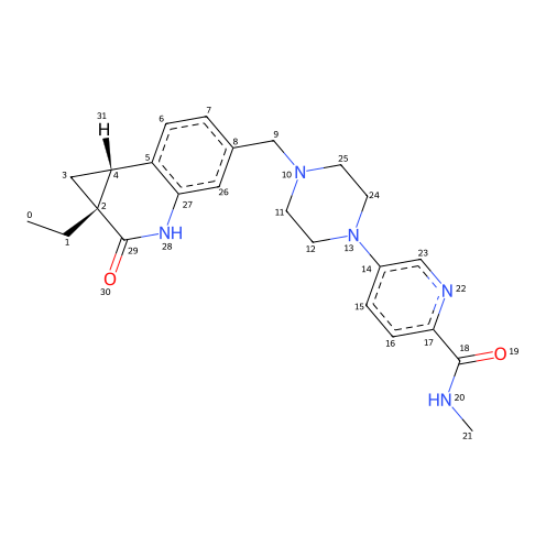 CC[C@@]12C[C@@H]1c1ccc(CN3CCN(c4ccc(C(=O)NC)nc4)CC3)cc1NC2=O